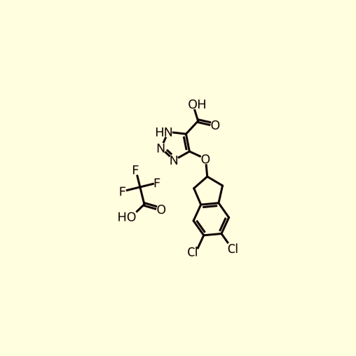 O=C(O)C(F)(F)F.O=C(O)c1[nH]nnc1OC1Cc2cc(Cl)c(Cl)cc2C1